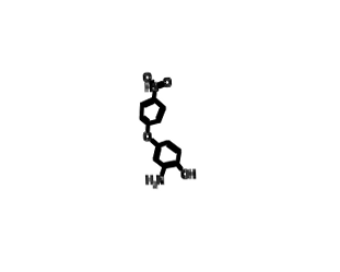 Nc1cc(Oc2ccc([SH](=O)=O)cc2)ccc1O